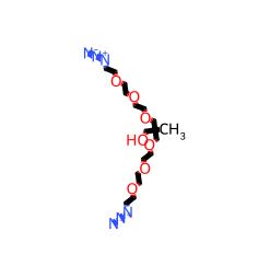 CC(CO)(COCCOCCOCCN=[N+]=[N-])COCCOCCOCCN=[N+]=[N-]